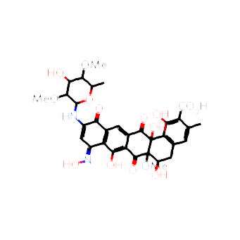 COC1C(C)OC(NC2=C/C(=N\O)c3c(cc4c(c3O)C(=O)C3(OC)C(O)Cc5cc(C)c(C(=O)O)c(O)c5C3(O)C4=O)C2=O)C(OC)C1O